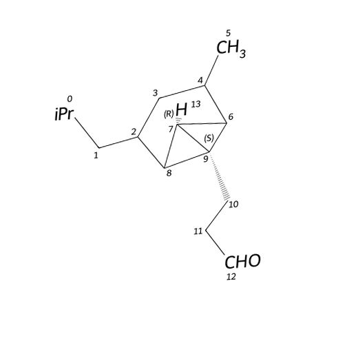 CC(C)CC1CC(C)C2[C@@H]3C1[C@]23CCC=O